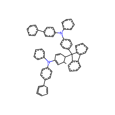 CC1C=C(N(c2ccccc2)c2ccc(C3=C=C=CC=C3)cc2)C=CC1C1(c2ccc(N(c3ccccc3)c3ccc(-c4ccccc4)cc3)cc2)c2ccccc2-c2ccccc21